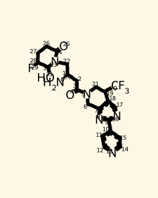 N[C@H](CC(=O)N1Cc2nc(-c3ccncc3)ncc2C(C(F)(F)F)C1)CN1C(=O)CCC(F)C1O